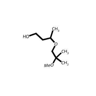 COC(C)(C)COC(C)CCO